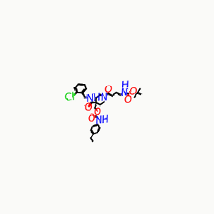 CCc1ccc(NC(=O)OCC2(C(=O)NCc3ccccc3Cl)CCN(C(=O)CCCNC(=O)OC(C)(C)C)CC2)cc1